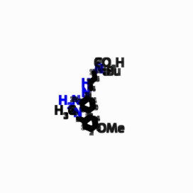 COc1ccc(CN(C)c2cccc(NCCCCN(C(=O)O)C(C)(C)C)c2N)cc1